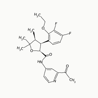 CCOc1c([C@H]2[C@@H](C(=O)Nc3ccnc(C(C)=O)c3)OC(C)(C)[C@H]2C)ccc(F)c1F